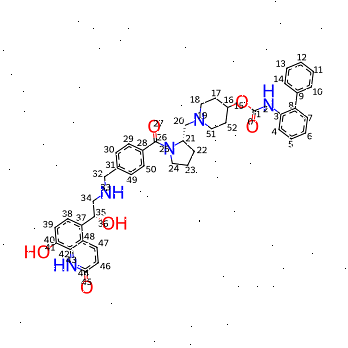 O=C(Nc1ccccc1-c1ccccc1)OC1CCN(C[C@@H]2CCCN2C(=O)c2ccc(CNC[C@H](O)c3ccc(O)c4[nH]c(=O)ccc34)cc2)CC1